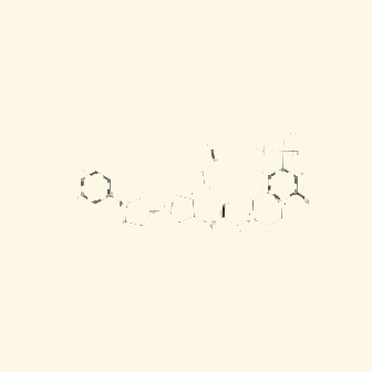 C=CCO[C@H]1CN(C2CCN(c3ccc(F)cc3)C2)CC1NC(=O)CN1CCn2c(cc(C(F)(F)F)cc2=O)C1